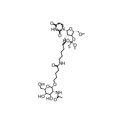 COC[C@H]1O[C@@H](n2ccc(=O)[nH]c2=O)[C@@H](C/C=C/CCCCNC(=O)CCCCO[C@@H]2O[C@H](CO)[C@H](O)[C@H](O)[C@H]2NC(C)=O)C1OP(O)(=S)OC